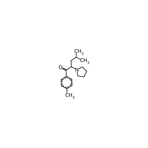 Cc1ccc(C(=O)C(CC(C)C)N2CCCC2)cc1